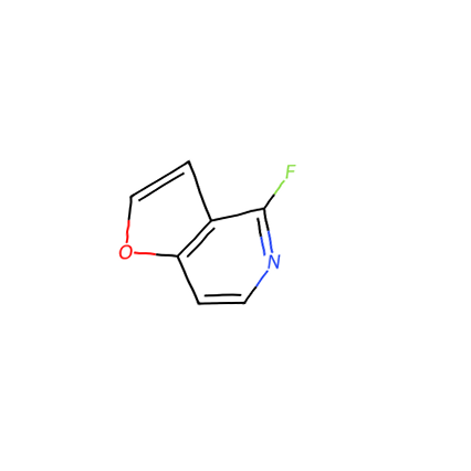 Fc1nccc2occc12